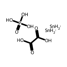 O=C(O)C(=O)O.O=P(O)(O)O.[SnH2].[SnH2]